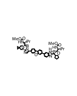 COC(=O)N[C@H](C(=O)N[C@H](c1nc2ccc(-c3ccc4c(c3)oc3cc(-c5cnc([C@@H]6CC7(CC7)CN6C(=O)[C@@H](NC(=O)OC)C(C)C)[nH]5)ccc34)cc2[nH]1)C1CCCC1)C(C)C